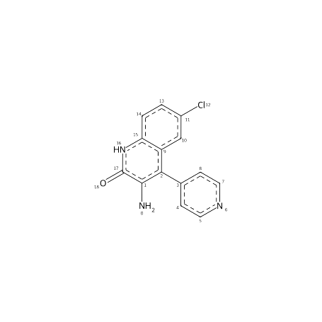 Nc1c(-c2ccncc2)c2cc(Cl)ccc2[nH]c1=O